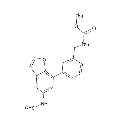 CC(C)(C)OC(=O)NCc1cccc(-c2cc(NC=O)cc3ccoc23)c1